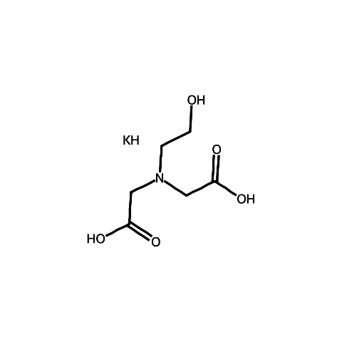 O=C(O)CN(CCO)CC(=O)O.[KH]